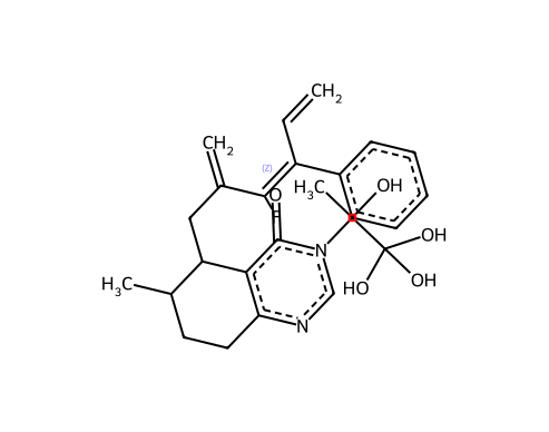 C=C/C(=C(/F)C(=C)CC1c2c(ncn(C(C)(O)C(O)(O)O)c2=O)CCC1C)c1ccccc1